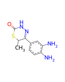 CC1SC(=O)NN=C1c1ccc(N)c(N)c1